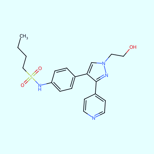 CCCCS(=O)(=O)Nc1ccc(-c2cn(CCO)nc2-c2ccncc2)cc1